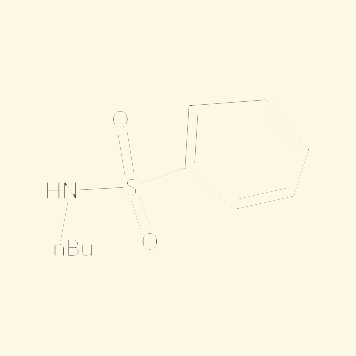 CCCCNS(=O)(=O)c1c[c]ccc1